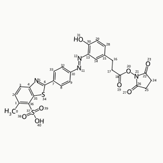 Cc1ccc2nc(-c3ccc(/N=N/c4cc(CCC(=O)ON5C(=O)CCC5=O)ccc4O)cc3)sc2c1S(=O)(=O)O